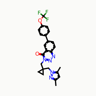 Cc1cc(C)n(CC2(Cn3nnc4ccc(-c5ccc(OC(F)(F)F)cc5)cc4c3=O)CC2)n1